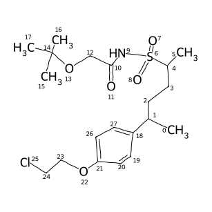 CC(CCC(C)S(=O)(=O)NC(=O)COC(C)(C)C)c1ccc(OCCCl)cc1